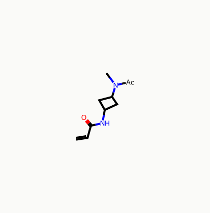 C=CC(=O)NC1CC(N(C)C(C)=O)C1